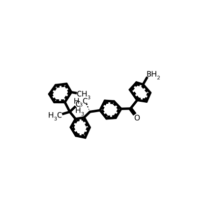 Bc1ccc(C(=O)c2ccc([C@@H](C)c3ccccc3C(C)(C)c3ccccc3C)cc2)cc1